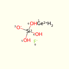 [F-].[GeH2+2].[O-][Si](O)(O)O